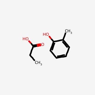 CCC(=O)O.Cc1ccccc1O